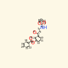 CC(C)(C)OC(=O)NCCC(=O)c1cccc(OC(=O)c2ccccc2)c1